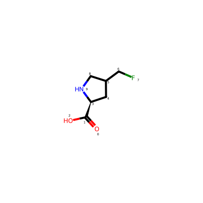 O=C(O)[C@@H]1CC(CF)CN1